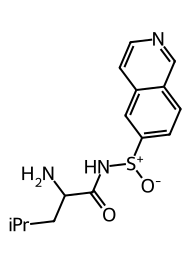 CC(C)CC(N)C(=O)N[S+]([O-])c1ccc2cnccc2c1